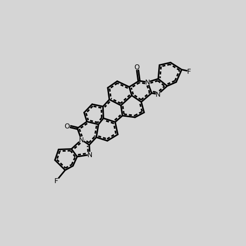 O=c1c2ccc3c4ccc5c(=O)n6c7ccc(F)cc7nc6c6ccc(c7ccc(c2c37)c2nc3cc(F)ccc3n12)c4c56